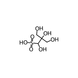 O=S(=O)(O)C(O)C(O)(CO)CO